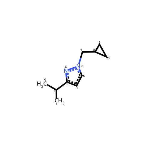 CC(C)c1ccn(CC2CC2)n1